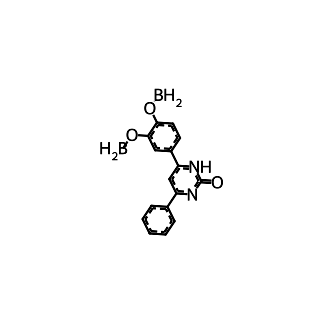 BOc1ccc(-c2cc(-c3ccccc3)nc(=O)[nH]2)cc1OB